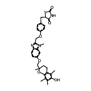 Cc1c(C)c2c(c(C)c1O)CCC(C)(COc1ccc3nc(COc4ccc(CC5SC(=O)NC5=O)cc4)n(C)c3c1)O2